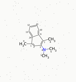 Cc1cc(N(C)C)c(C)c2ccccc12